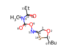 CCCCC1OCC(=NOC(=O)N(C)C(=O)CC)S1